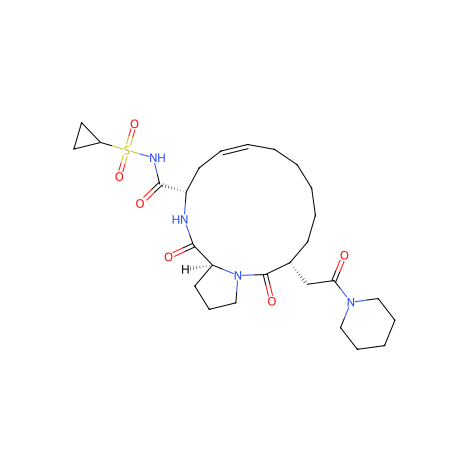 O=C(NS(=O)(=O)C1CC1)[C@@H]1C/C=C\CCCCC[C@H](CC(=O)N2CCCCC2)C(=O)N2CCC[C@H]2C(=O)N1